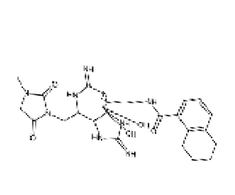 CN1CC(=O)N(CC2NC(=N)N3CC(NC(=O)c4cccc5c4CCCC5)C(O)(O)C34NC(=N)NC24)C1=O